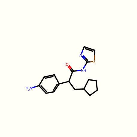 Nc1ccc(C(CC2CCCC2)C(=O)Nc2n[c]cs2)cc1